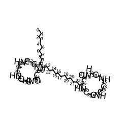 CCCCCCCCCCCC(CCCCCCCCCCCCC1CC(=O)NCCCNCCCCNCCCN1)CC1CC(=O)NCCCNCCCNCCCN1